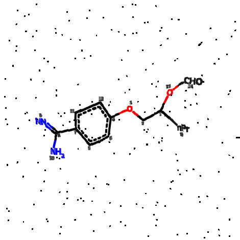 CCCC(COc1ccc(C(=N)N)cc1)O[C]=O